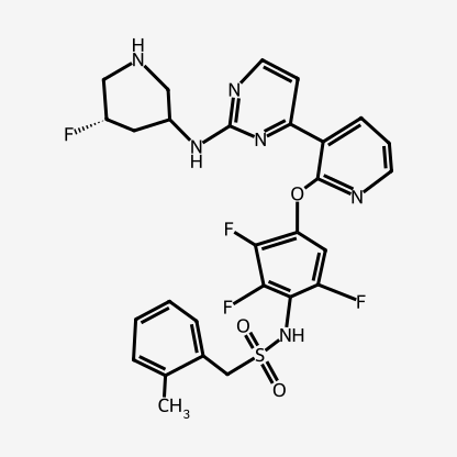 Cc1ccccc1CS(=O)(=O)Nc1c(F)cc(Oc2ncccc2-c2ccnc(NC3CNC[C@@H](F)C3)n2)c(F)c1F